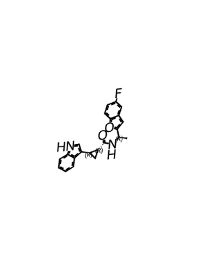 C[C@@H](NC(=O)[C@@H]1C[C@H]1c1c[nH]c2ccccc12)c1cc2cc(F)ccc2o1